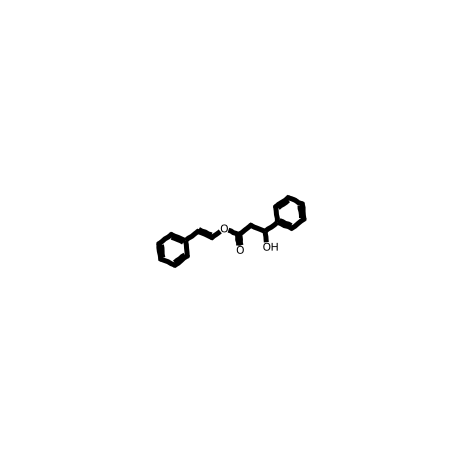 O=C(CC(O)c1ccccc1)OC=Cc1ccccc1